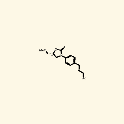 COC[C@H]1CN(c2ccc(CCCC(C)=O)cc2)C(=O)O1